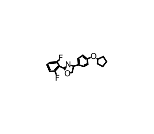 Fc1cccc(F)c1C1=NC(c2ccc(OC3CCCC3)cc2)CO1